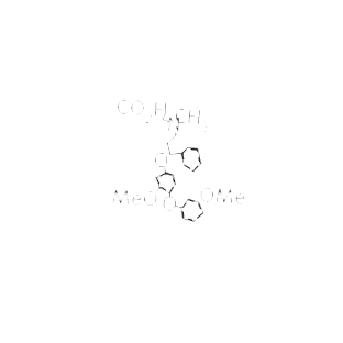 COc1cccc(Oc2ccc(OC(CCN(C)CC(=O)O)c3ccccc3)cc2OC)c1